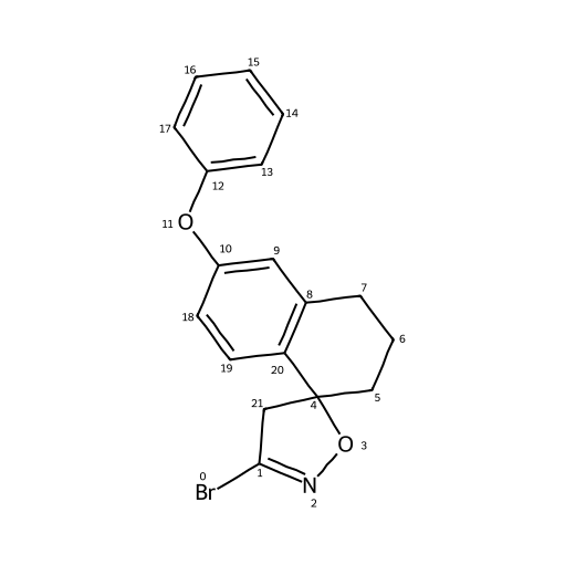 BrC1=NOC2(CCCc3cc(Oc4ccccc4)ccc32)C1